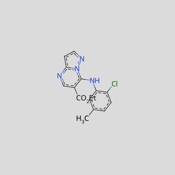 CCOC(=O)c1cnc2ccnn2c1Nc1cc(C)ccc1Cl